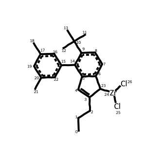 CCCC1=Cc2c(ccc(C(C)(C)C)c2-c2cc(C)cc(C)c2)[CH]1[Zr]([Cl])[Cl]